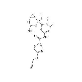 C#CCOc1cnc(C(=O)Nc2cc(F)c(Cl)c(C3(CF)N=C(N)OC4CC43)c2)cn1